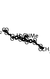 C=CC(=O)OCCCCOC(=O)C1CCC(C(=O)Oc2ccc(OC(=O)C3CCC(C(=O)OCCCCOC(=O)C=C)CC3)c(/C(C)=N/NC)c2)CC1